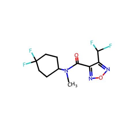 CN(C(=O)c1nonc1C(F)F)C1CCC(F)(F)CC1